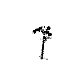 CC(C)(C)OC(=O)NCCOCCOCCOCCOCCC(=O)NC(CSCC(=O)N(CCCNC(=O)C(CC(N)=O)NC(=O)Cc1ccncc1)C(c1cc(-c2cc(F)ccc2F)cn1Cc1ccccc1)C(C)(C)C)C(=O)OC(C)(C)C